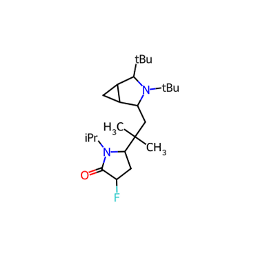 CC(C)N1C(=O)C(F)CC1C(C)(C)CC1C2CC2C(C(C)(C)C)N1C(C)(C)C